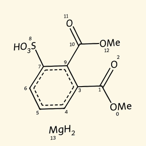 COC(=O)c1cccc(S(=O)(=O)O)c1C(=O)OC.[MgH2]